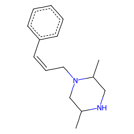 CC1CN(C/C=C\c2ccccc2)C(C)CN1